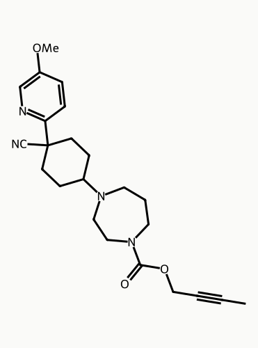 CC#CCOC(=O)N1CCCN(C2CCC(C#N)(c3ccc(OC)cn3)CC2)CC1